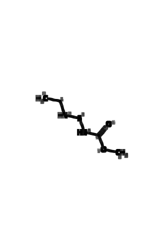 CCNSNC(=O)OC